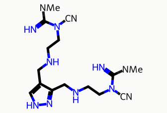 CNC(=N)N(C#N)CCNCc1c[nH]nc1CNCCN(C#N)C(=N)NC